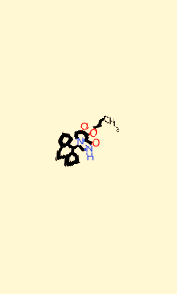 CCCCOc1c2n(ccc1=O)C(C1c3ccccc3CCc3ccccc31)CNC2=O